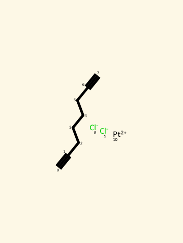 C#CCCCCC#C.[Cl-].[Cl-].[Pt+2]